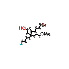 COCCCC(CCO)(CCCCF)[C](C)CCCCBr